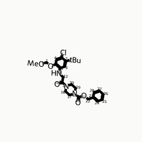 COCOc1cc(Cl)c(C(C)(C)C)cc1NCC(=O)N1CCN(C(=O)OCc2ccccc2)CC1